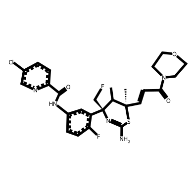 CC1[C@@](C)(/C=C/C(=O)N2CCOCC2)SC(N)=N[C@]1(CF)c1cc(NC(=O)c2ccc(Cl)cn2)ccc1F